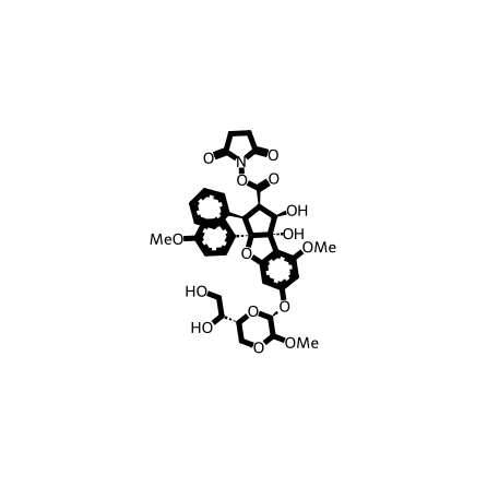 COc1ccc([C@@]23Oc4cc(O[C@H]5O[C@@H](C(O)CO)COC5OC)cc(OC)c4[C@]2(O)[C@H](O)[C@H](C(=O)ON2C(=O)CCC2=O)[C@@H]3c2ccccc2)cc1